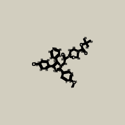 COc1ccc(-c2nc(-c3ccc(Cl)cc3)c(-c3ccncc3)n2CC(=O)N2CCN(C(=O)OC(C)(C)C)CC2)cn1